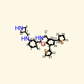 Cc1ccc(NCC2CNC2)cc1C(=O)N[C@H](C)c1cc(-c2cccs2)cc(-c2cccs2)c1